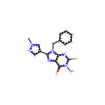 CCCn1c(Cl)nc2c(nc(-c3cnn(C)c3)n2Cc2ccccc2)c1=O